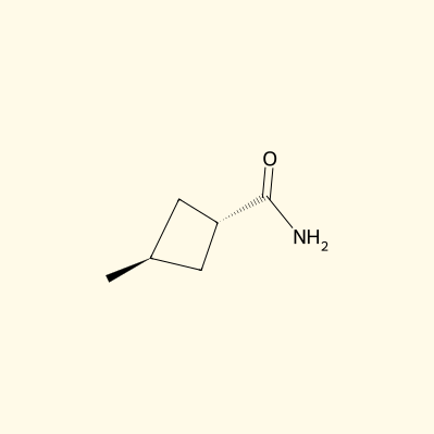 C[C@H]1C[C@H](C(N)=O)C1